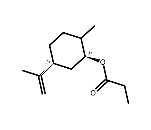 C=C(C)[C@@H]1CCC(C)[C@@H](OC(=O)CC)C1